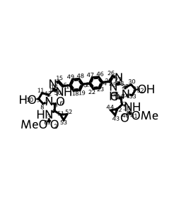 COC(=O)NC(C(=O)N1C[C@H](O)C[C@H]1c1ncc(-c2ccc(-c3ccc(-c4cnc([C@@H]5C[C@@H](O)CN5C(=O)[C@@H](NC(=O)OC)C5CC5)[nH]4)cc3)cc2)[nH]1)C1CC1